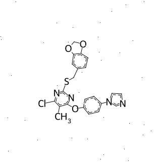 Cc1c(Cl)nc(SCc2ccc3c(c2)OCO3)nc1Oc1ccc(-n2ccnc2)cc1